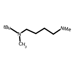 CNCCCCN(C)C(C)(C)C